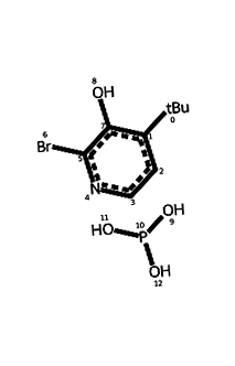 CC(C)(C)c1ccnc(Br)c1O.OP(O)O